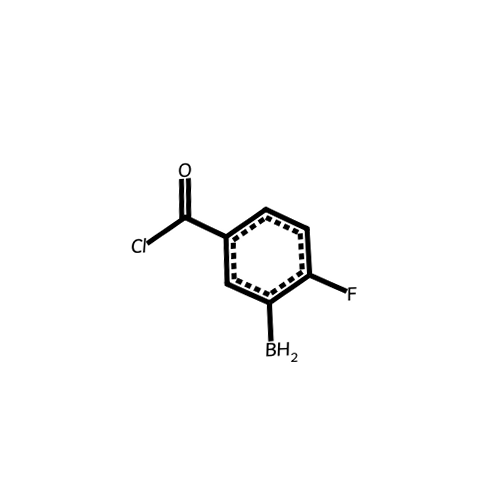 Bc1cc(C(=O)Cl)ccc1F